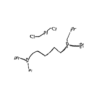 CC(C)P(CCCCP(C(C)C)C(C)C)C(C)C.[Cl][Pd][Cl]